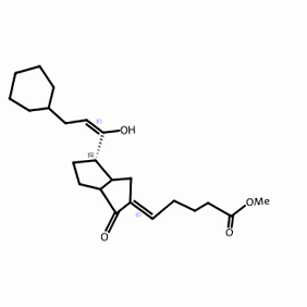 COC(=O)CCC/C=C1\CC2C(CC[C@@H]2/C(O)=C\CC2CCCCC2)C1=O